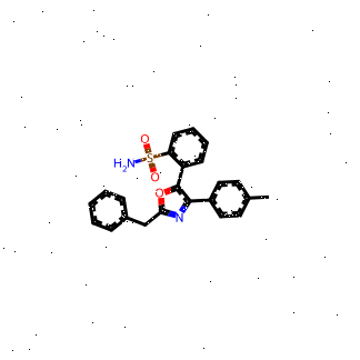 Cc1ccc(-c2nc(Cc3ccccc3)oc2-c2ccccc2S(N)(=O)=O)cc1